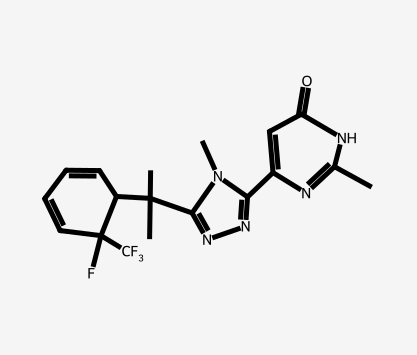 Cc1nc(-c2nnc(C(C)(C)C3C=CC=CC3(F)C(F)(F)F)n2C)cc(=O)[nH]1